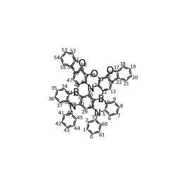 c1ccc(N2c3ccccc3B3c4cc5c(oc6ccccc65)c5c4N4c6c3c2cc2c6B(c3ccccc3N2c2ccccc2)c2cc3c(oc6ccccc63)c(c24)O5)cc1